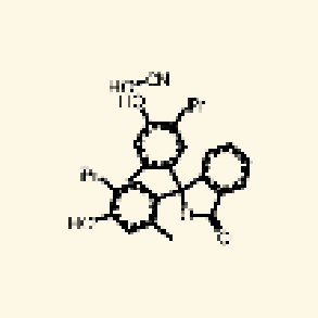 Cc1cc(O)c(C(C)C)cc1C1(c2cc(C(C)C)c(O)cc2C)OC(=O)c2ccccc21.N#CO